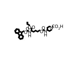 C=CCOC(=O)C(CCCCOC(=O)NC1CCN(C(=O)O)CC1)NC(=O)OCC1c2ccccc2-c2ccccc21